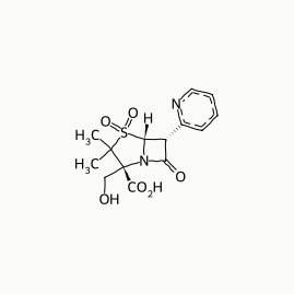 CC1(C)[C@](CO)(C(=O)O)N2C(=O)[C@@H](c3ccccn3)[C@H]2S1(=O)=O